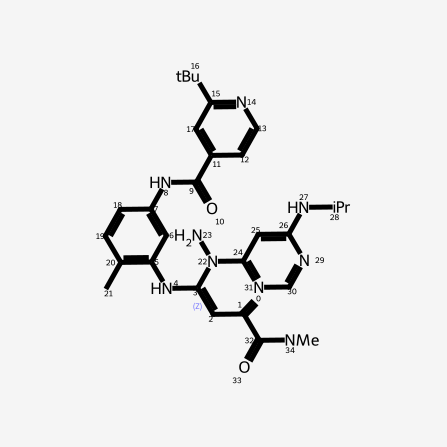 C=C(/C=C(/Nc1cc(NC(=O)c2ccnc(C(C)(C)C)c2)ccc1C)N(N)c1cc(NC(C)C)ncn1)C(=O)NC